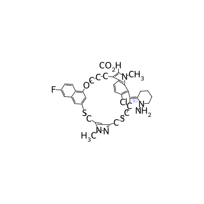 Cn1nc2cc1CSc1cc(c3ccc(F)cc3c1)OCCCc1c(C(=O)O)n(C)c3c(c(Cl)ccc13)/C(=C1\CCCCN1N)CCSC2